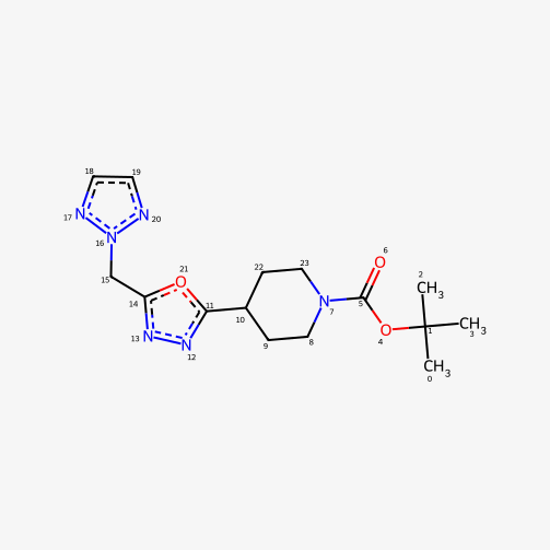 CC(C)(C)OC(=O)N1CCC(c2nnc(Cn3nccn3)o2)CC1